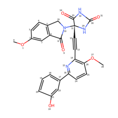 COc1ccc2c(c1)C(=O)N([C@@]1(C#Cc3nc(-c4cccc(O)c4)ccc3OC)NC(=O)NC1=O)C2